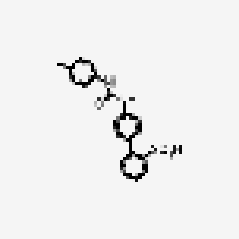 Cc1ccc(NC(=O)Nc2ccc(-c3ccccc3S(=O)(=O)O)cc2)cc1